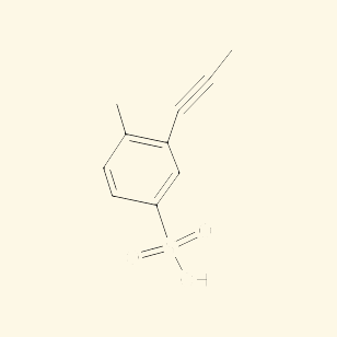 CC#Cc1cc(S(=O)(=O)O)ccc1C